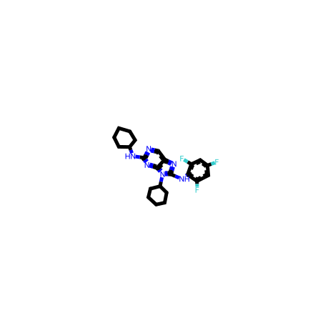 Fc1cc(F)c(Nc2nc3cnc(NC4CCCCC4)nc3n2C2CCCCC2)c(F)c1